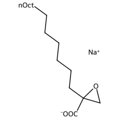 CCCCCCCCCCCCCCC1(C(=O)[O-])CO1.[Na+]